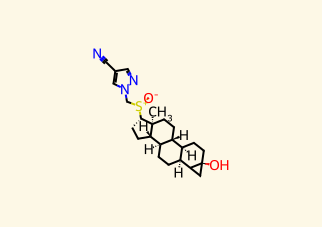 C[C@]12CC[C@@H]3[C@H]4CC[C@]5(O)CC5[C@H]4CC[C@H]3[C@@H]1CC[C@@H]2[S@+]([O-])Cn1cc(C#N)cn1